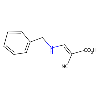 N#C/C(=C\NCc1ccccc1)C(=O)O